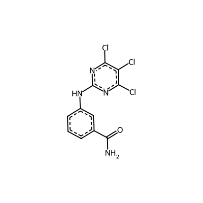 NC(=O)c1cccc(Nc2nc(Cl)c(Cl)c(Cl)n2)c1